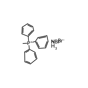 Br.C[P+](c1ccccc1)(c1ccccc1)c1ccccc1.N.[Br-]